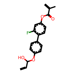 C=CC(O)Oc1ccc(-c2ccc(OC(=O)C(=C)C)cc2F)cc1